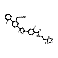 COCc1cc(-c2nc(-c3ccc(C(=O)NCCc4nnn[nH]4)c(F)c3)no2)ccc1-c1ccccc1C